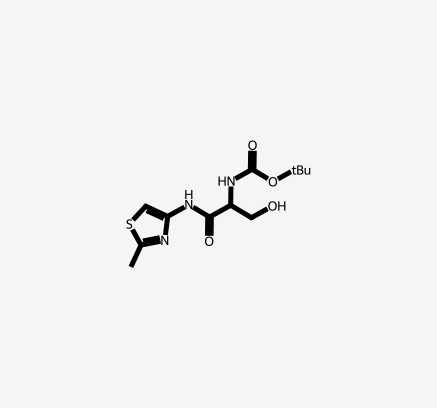 Cc1nc(NC(=O)C(CO)NC(=O)OC(C)(C)C)cs1